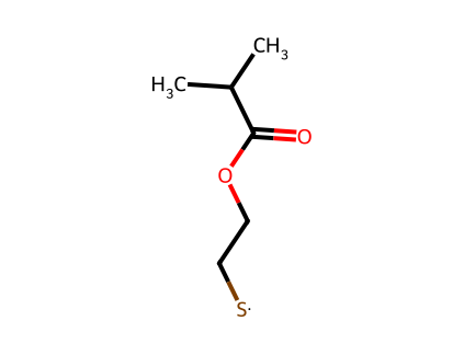 CC(C)C(=O)OCC[S]